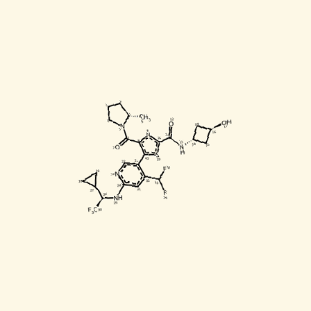 C[C@H]1CCCN1C(=O)c1nc(C(=O)N[C@H]2C[C@H](O)C2)sc1-c1cnc(N[C@H](C2CC2)C(F)(F)F)cc1C(F)F